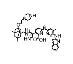 C/C(NCC12CC3(C)CC(C)(C1)CC(OCCN1CCNCC1)(C3)C2)=C(/C=N)c1ccc(N(C)c2cc(C)c(Nc3nc4ccccc4s3)nn2)nc1C(=O)O